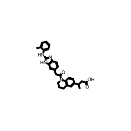 Cc1ccccc1Nc1nc2ccc(CC(=O)N3CCCc4cc(C(C)CC(=O)O)ccc43)cc2[nH]1